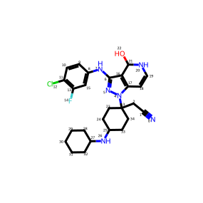 N#CCC1(n2nc(Nc3ccc(Cl)c(F)c3)c3c2C=CNC3O)CCC(NC2CCCCC2)CC1